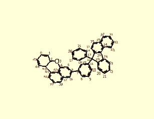 C1=CC2Oc3cc(-c4cccc(C5(c6ccccc6)c6ccccc6-c6c5ccc5ccccc65)c4)cc4cccc(c34)C2C=C1